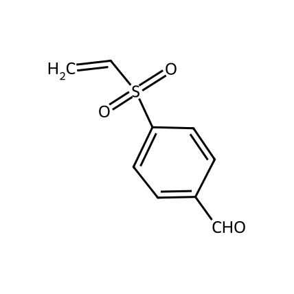 C=CS(=O)(=O)c1ccc(C=O)cc1